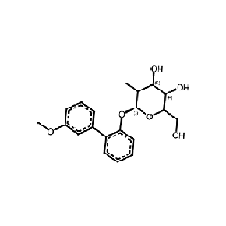 COc1cccc(-c2ccccc2O[C@@H]2OC(CO)[C@H](O)[C@H](O)C2C)c1